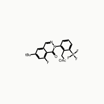 CC(=O)OCc1c(-n2ncc3cc(C(C)(C)C)cc(F)c3c2=O)cccc1[B-](F)(F)F